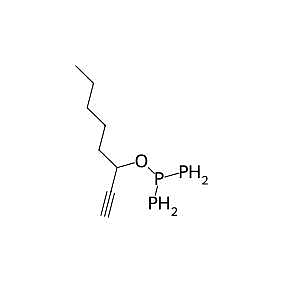 C#CC(CCCCC)OP(P)P